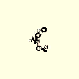 C=CC(O)N1CCC[C@@H](n2cc(C(N)=O)c(-c3ccc(Oc4ccccc4)c(F)c3)n2)C1